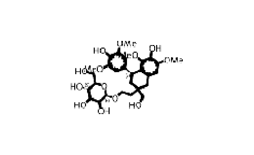 COc1cc([C@@H]2CC(CO)(CCO[C@@H]3OC(CO)[C@@H](O)C(O)C3O)Cc3cc(OC)c(O)c(OC)c32)cc(OC)c1O